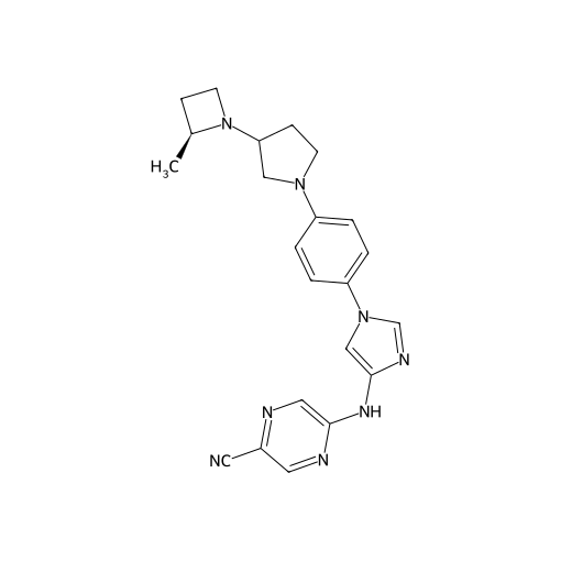 C[C@H]1CCN1C1CCN(c2ccc(-n3cnc(Nc4cnc(C#N)cn4)c3)cc2)C1